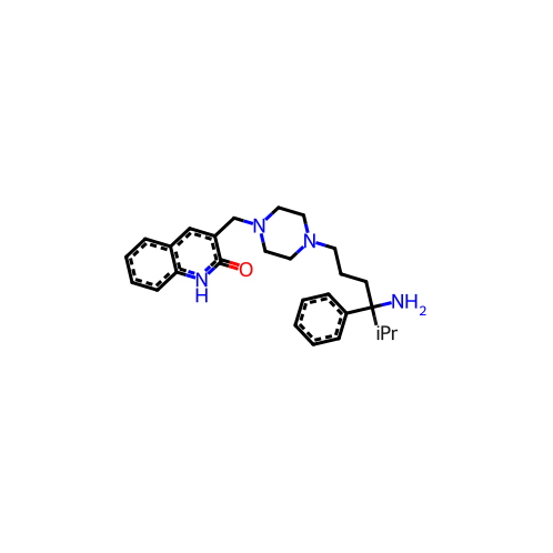 CC(C)C(N)(CCCN1CCN(Cc2cc3ccccc3[nH]c2=O)CC1)c1ccccc1